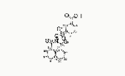 O=C(O)c1cccc(S(=O)(=O)ON2C(=O)c3cccc4cccc(c34)C2=O)c1